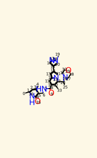 Cc1cc(C)c(CNC(=O)c2cc3cc(-c4cnn(C)c4)cn3c(C(C)N3CCOCC3)c2C)c(=O)[nH]1